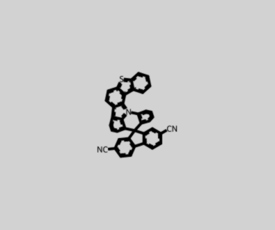 N#Cc1ccc2c(c1)C1(c3cc(C#N)ccc3-2)c2ccccc2-n2c3c1cccc3c1ccc3sc4ccccc4c3c12